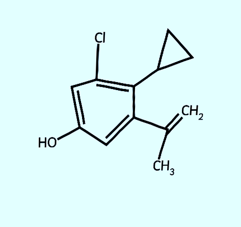 C=C(C)c1cc(O)cc(Cl)c1C1CC1